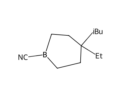 CCC(C)C1(CC)CCB(C#N)CC1